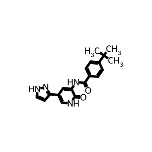 CC(C)(C)c1ccc(C(=O)Nc2cc(-c3cc[nH]n3)c[nH]c2=O)cc1